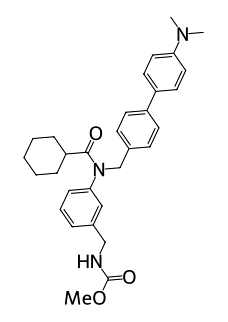 COC(=O)NCc1cccc(N(Cc2ccc(-c3ccc(N(C)C)cc3)cc2)C(=O)C2CCCCC2)c1